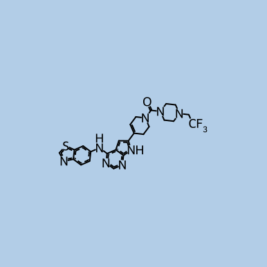 O=C(N1CC=C(c2cc3c(Nc4ccc5ncsc5c4)ncnc3[nH]2)CC1)N1CCN(CC(F)(F)F)CC1